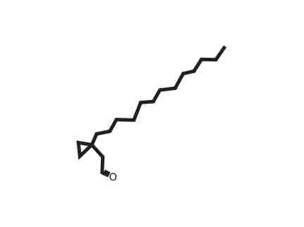 CCCCCCCCCCCCCC1(CC=O)CC1